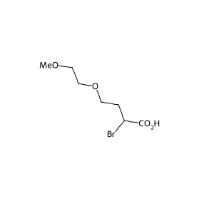 COCCOCCC(Br)C(=O)O